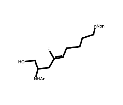 CCCCCCCCCCCCC/C=C(\F)CC(CO)NC(C)=O